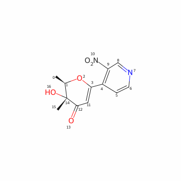 C[C@H]1OC(c2ccncc2[N+](=O)[O-])=CC(=O)[C@]1(C)O